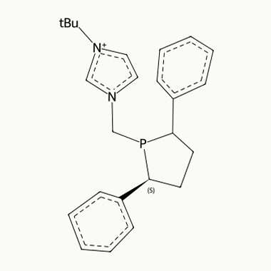 CC(C)(C)[n+]1ccn(CP2C(c3ccccc3)CC[C@H]2c2ccccc2)c1